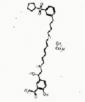 CC(=O)O.NC(=O)c1cc([C@@H](O)CNCCCCCCOCCCCc2cccc(S(=O)(=O)C3CCCC3)c2)ccc1O